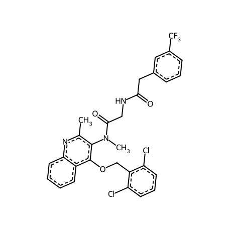 Cc1nc2ccccc2c(OCc2c(Cl)cccc2Cl)c1N(C)C(=O)CNC(=O)Cc1cccc(C(F)(F)F)c1